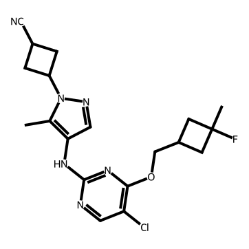 Cc1c(Nc2ncc(Cl)c(OCC3CC(C)(F)C3)n2)cnn1C1CC(C#N)C1